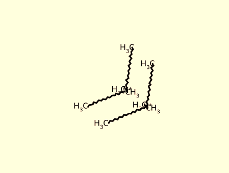 CCCCCCCCCCCCCCCCCC[N+](C)(C)CCCCCCCCCCCCCCCCCC.CCCCCCCCCCCCCCCCCC[N+](C)(C)CCCCCCCCCCCCCCCCCC